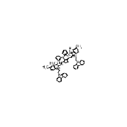 Cc1ccc2c(c1)C(C)(C)C(/C=C/C1=C(N(c3ccccc3)c3ccccc3)C(=C/C=C3/N(CCn4c5ccccc5c5ccccc54)c4ccc(C)cc4C3(C)C)/CC1)=[N+]2CCn1c2ccccc2c2ccccc21